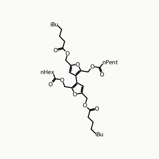 CCCCCCC(=O)OCc1oc(COC(=O)CCCC(C)CC)cc1-c1cc(COC(=O)CCCC(C)CC)oc1COC(=O)CCCCC